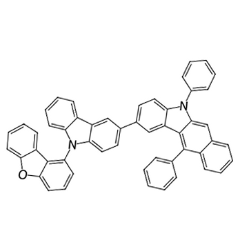 c1ccc(-c2c3ccccc3cc3c2c2cc(-c4ccc5c(c4)c4ccccc4n5-c4cccc5oc6ccccc6c45)ccc2n3-c2ccccc2)cc1